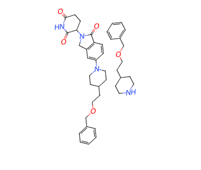 O=C1CCC(N2Cc3cc(N4CCC(CCOCc5ccccc5)CC4)ccc3C2=O)C(=O)N1.c1ccc(COCCC2CCNCC2)cc1